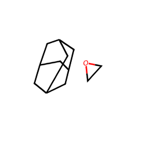 C1C2CC3CC1CC(C2)C3.C1CO1